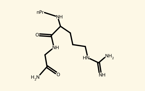 CCCNC(CCCNC(=N)N)C(=O)NCC(N)=O